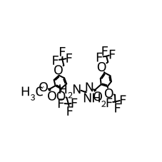 COC(=O)c1cc(OCC(F)(F)F)ccc1OCC(F)(F)F.NC(N)=NC(=O)c1cc(OCC(F)(F)F)ccc1OCC(F)(F)F